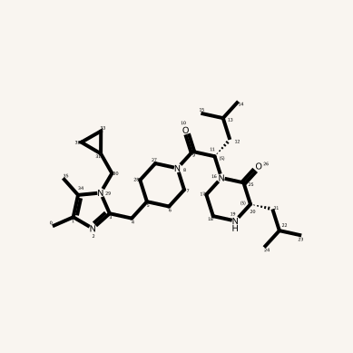 Cc1nc(CC2CCN(C(=O)[C@H](CC(C)C)N3CCN[C@@H](CC(C)C)C3=O)CC2)n(CC2CC2)c1C